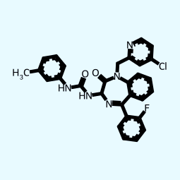 Cc1cccc(NC(=O)NC2N=C(c3ccccc3F)c3ccccc3N(Cc3cc(Cl)ccn3)C2=O)c1